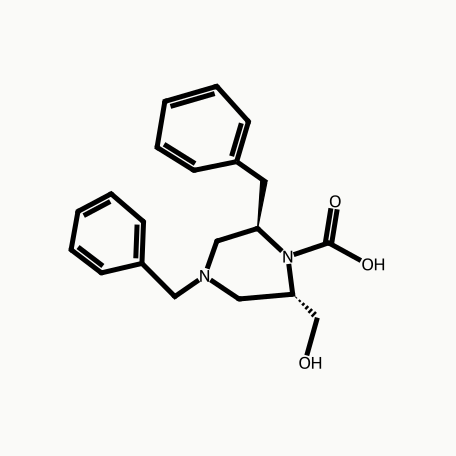 O=C(O)N1[C@H](CO)CN(Cc2ccccc2)C[C@H]1Cc1ccccc1